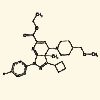 CCOC(=O)C1=CC(N2CCC(COC)CC2)C2(C)C(C3CCC3)=NN(c3ccc(F)cc3)C2=N1